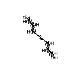 CC(C)(C)COP(=O)(O)OCCOP(=O)(O)OCCOP(=O)(O)OCCCCCCSSCCCCCCOP(=O)(O)OCCOP(=O)(O)OCCOP(=O)(O)OCC(C)(C)C